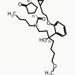 CCCCN(CC[C@@](O)(CCCCOC)c1ccccc1OCCC1CC1)C(=O)[C@@H]1CC(=O)[C@H](N)C1